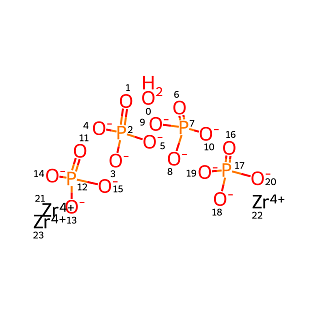 O.O=P([O-])([O-])[O-].O=P([O-])([O-])[O-].O=P([O-])([O-])[O-].O=P([O-])([O-])[O-].[Zr+4].[Zr+4].[Zr+4]